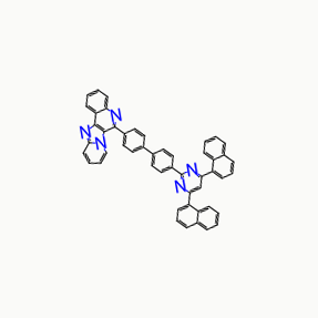 c1ccc2c(-c3cc(-c4cccc5ccccc45)nc(-c4ccc(-c5ccc(-c6nc7ccccc7c7nc8ccccn8c67)cc5)cc4)n3)cccc2c1